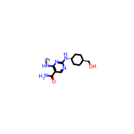 CC(C)Nc1nc(N[C@H]2CC[C@H](CO)CC2)ncc1C(N)=O